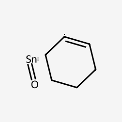 [C]1=CCCCC1.[O]=[Sn]